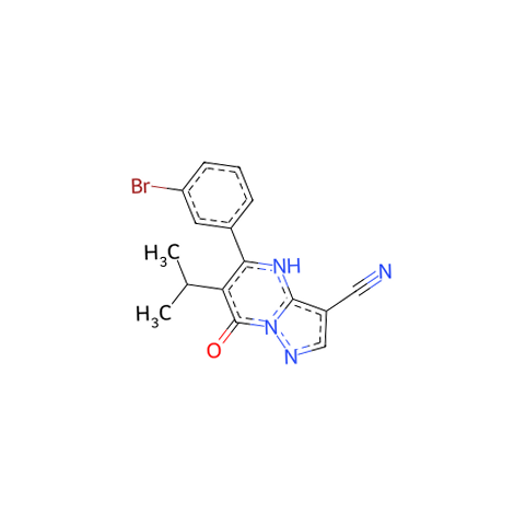 CC(C)c1c(-c2cccc(Br)c2)[nH]c2c(C#N)cnn2c1=O